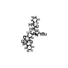 CC(C)(C)c1cc(NC(=O)Nc2ccccc2)n(-c2cccc(C(=O)N3C(=O)OC[C@@H]3c3ccccc3)c2)n1